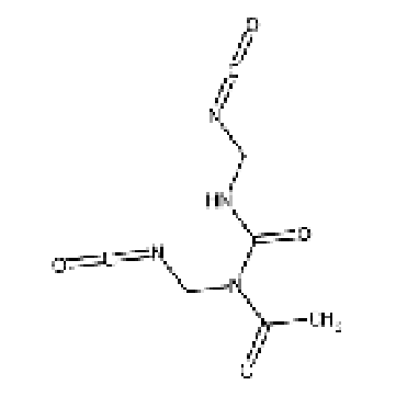 CC(=O)N(CN=C=O)C(=O)NCN=C=O